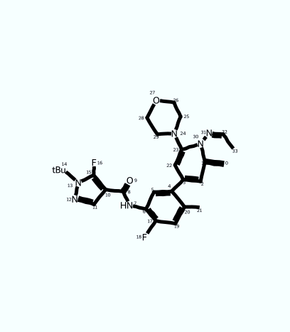 C=C1C=C(c2cc(NC(=O)c3cnn(C(C)(C)C)c3F)c(F)cc2C)C=C(N2CCOCC2)N1/N=C\C